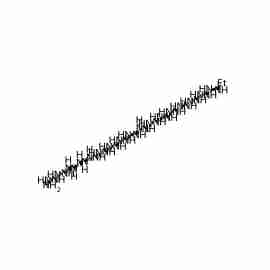 CCNNNNNNNNNNNNNNNNNNNNNNNNNNNNNNNNNNN